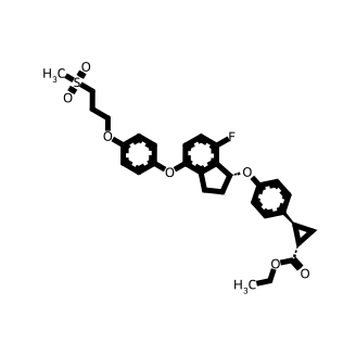 CCOC(=O)[C@H]1C[C@@H]1c1ccc(O[C@@H]2CCc3c(Oc4ccc(OCCCS(C)(=O)=O)cc4)ccc(F)c32)cc1